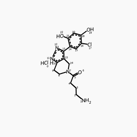 Cl.NCCCC(=O)N1CCc2[nH]nc(-c3cc(Cl)c(O)cc3O)c2C1